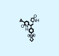 O=C1CC[C@H](/C=C(/c2ccc(S(=O)(=O)N3CCC3)cc2)c2ccc(C3CC3)c(=O)[nH]2)N1